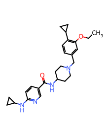 CCOc1cc(CN2CCC(NC(=O)c3ccc(NC4CC4)nc3)CC2)ccc1C1CC1